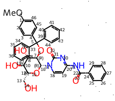 COc1ccc(C(O[C@@H]2[C@@H](O)[C@H](O)[C@@H](CO)O[C@H]2n2ccc(NC(=O)c3ccccc3)nc2=O)(c2ccccc2)c2ccccc2)cc1